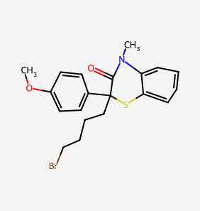 COc1ccc(C2(CCCCBr)Sc3ccccc3N(C)C2=O)cc1